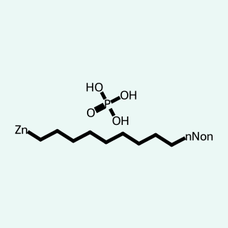 CCCCCCCCCCCCCCCCC[CH2][Zn].O=P(O)(O)O